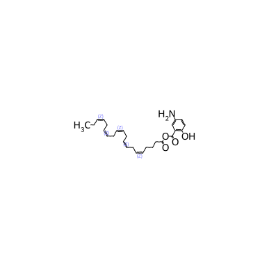 CC/C=C\C/C=C\C/C=C\C/C=C\C/C=C\CCCC(=O)OC(=O)c1cc(N)ccc1O